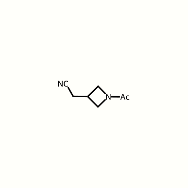 CC(=O)N1CC(CC#N)C1